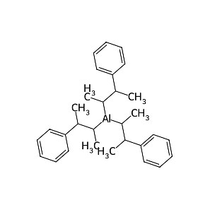 CC(c1ccccc1)[CH](C)[Al]([CH](C)C(C)c1ccccc1)[CH](C)C(C)c1ccccc1